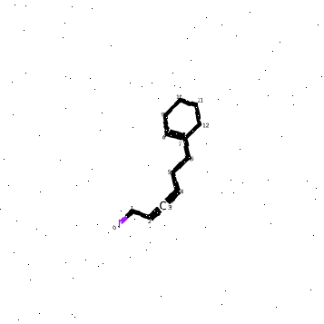 ICC=C=CCCC1=CCCCC1